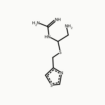 N=C(N)NC(CN)SCc1cscn1